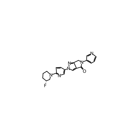 O=C1c2cn(-c3ccc(N4CCC[C@@H](F)C4)nc3)nc2CN1c1cccnc1